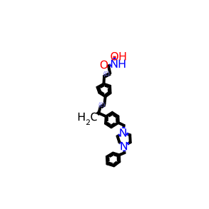 C=C(/C=C/c1ccc(/C=C/C(=O)NO)cc1)c1ccc(CN2CCN(Cc3ccccc3)CC2)cc1